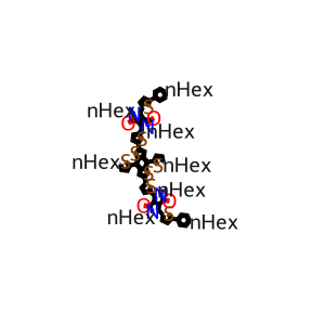 CCCCCCc1ccc(-c2ccc(C3=C4C(=O)N(CCCCCC)C(c5ccc(-c6cc7c(-c8ccc(CCCCCC)s8)c8sc(-c9ccc(C%10=C%11C(=O)N(CCCCCC)C(c%12ccc(-c%13ccc(CCCCCC)cc%13)s%12)=C%11C(=O)N%10CCCCCC)s9)cc8c(-c8ccc(CCCCCC)s8)c7s6)s5)=C4C(=O)N3CCCCCC)s2)cc1